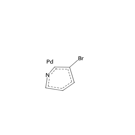 Brc1cccnc1.[Pd]